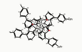 CCCc1ccc(-c2cccc3c2C=C(C)[CH]3[Zr]([Cl])([Cl])([CH]2C(C)=Cc3c(-c4ccc(CCC)cc4)cccc32)([SiH](C)C)[Zr]([Cl])([Cl])([CH]2C(C)=Cc3c(-c4ccc(C)cc4)cccc32)([CH]2C(C)=Cc3c(-c4ccc(C)cc4)cccc32)[SiH](C)C)cc1